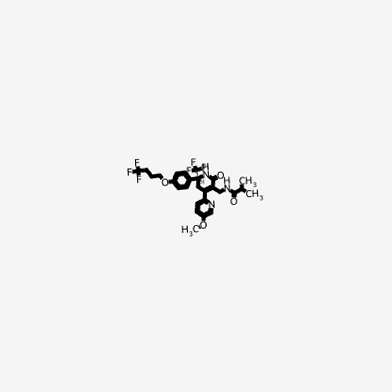 COc1ccc(C2=C(CNC(=O)C(C)C)C(=O)N[C@@](c3ccc(OCCCC(F)(F)F)cc3)(C(F)(F)F)C2)nc1